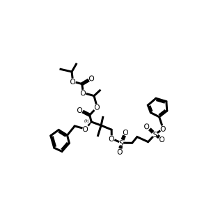 CC(C)OC(=O)OC(C)OC(=O)[C@H](OCc1ccccc1)C(C)(C)COS(=O)(=O)CCCS(=O)(=O)Oc1ccccc1